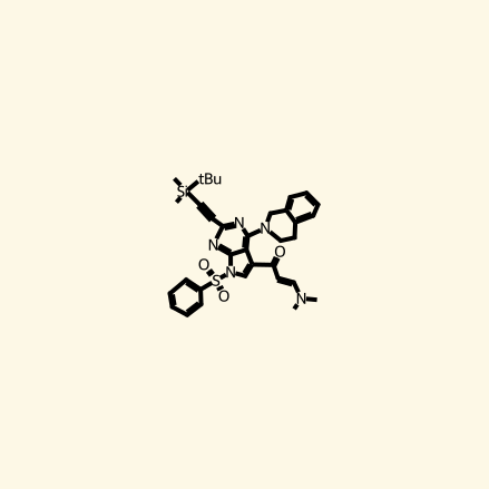 CN(C)C=CC(=O)c1cn(S(=O)(=O)c2ccccc2)c2nc(C#C[Si](C)(C)C(C)(C)C)nc(N3CCc4ccccc4C3)c12